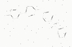 Cc1ccc(-c2ccc(Oc3ccc(S(=O)(=O)c4ccc(C)cc4)cc3)cc2)cc1